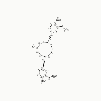 CC(=O)OC[C@H]1O[C@H](C#CC2CCCCC(C#C[C@@H]3C=C[C@H](OC(C)=O)[C@@H](COC(C)=O)O3)CCC(Cl)CC2)C=C[C@@H]1OC(C)=O